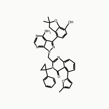 Cc1ccc(-c2cccc3nc(Cn4nc(-c5ccc(O)c6c5CC(C)(C)O6)c5c(N)ncnc54)n(C4(c5ccccc5)CC4)c(=O)c23)o1